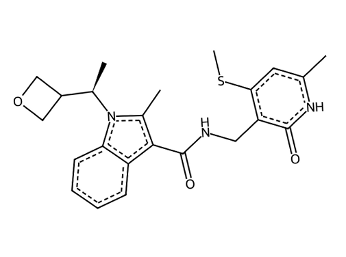 CSc1cc(C)[nH]c(=O)c1CNC(=O)c1c(C)n([C@H](C)C2COC2)c2ccccc12